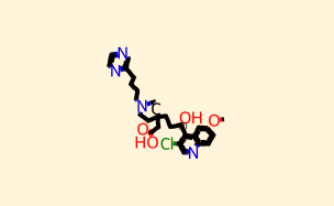 COc1ccc2ncc(Cl)c([C@H](O)CCC3(CC(=O)O)CCN(CCCCc4cnccn4)CC3)c2c1